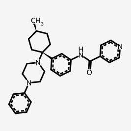 C[C@H]1CC[C@](c2cccc(NC(=O)c3ccncc3)c2)(N2CCN(c3ccccc3)CC2)CC1